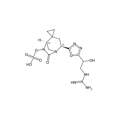 N=C(N)NCC(O)c1nnc([C@@H]2CC3(CC3)[C@H]3CN2C(=O)N3OS(=O)(=O)O)o1